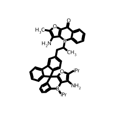 Cc1oc2c(c1N)B(C(C)Cc1ccc3c(c1)-c1ccccc1C31c3ccccc3B(C(C)C)c3c1oc(C(C)C)c3N)c1ccccc1C2=O